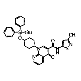 Cc1cc(NC(=O)c2cn(C3CCC(O[Si](c4ccccc4)(c4ccccc4)C(C)(C)C)CC3)c3ncccc3c2=O)sn1